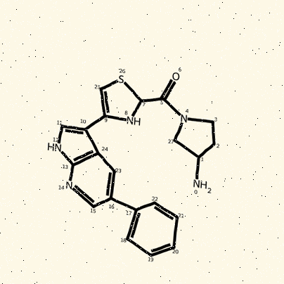 NC1CCN(C(=O)C2NC(c3c[nH]c4ncc(-c5ccccc5)cc34)=CS2)C1